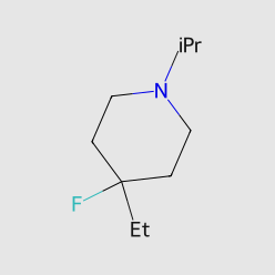 CCC1(F)CCN(C(C)C)CC1